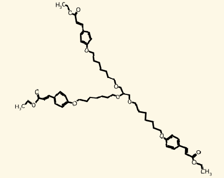 CCOC(=O)/C=C/c1ccc(OCCCCCCCOCC(COCCCCCCCOc2ccc(/C=C/C(=O)OCC)cc2)OCCCCCCCOc2ccc(/C=C/C(=O)OCC)cc2)cc1